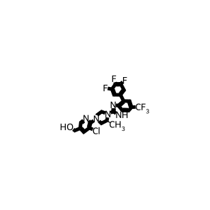 C[C@@H]1CN(c2ncc(CO)cc2Cl)CCN1c1nc2c(-c3cc(F)c(F)c(F)c3)cc(C(F)(F)F)cc2[nH]1